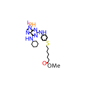 COC(=O)CCCCCCSc1ccc(Nc2nc(NC3CCCCC3)c3ncn(PI)c3n2)cc1